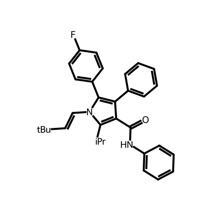 CC(C)c1c(C(=O)Nc2ccccc2)c(-c2ccccc2)c(-c2ccc(F)cc2)n1/C=C/C(C)(C)C